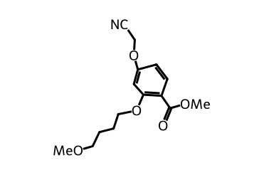 COCCCCOc1cc(OCC#N)ccc1C(=O)OC